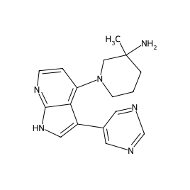 CC1(N)CCCN(c2ccnc3[nH]cc(-c4cncnc4)c23)C1